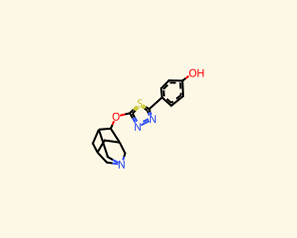 Oc1ccc(-c2nnc(OC3C4CC5CC3CN(C5)C4)s2)cc1